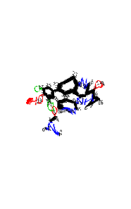 CN(C)CCOc1ccc(Nc2c(C(=O)C3CC3)cnc3ccc(-c4cc(Cl)c(O)c(Cl)c4)cc23)cn1